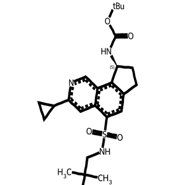 CC(C)(F)CNS(=O)(=O)c1cc2c(c3cnc(C4CC4)cc13)[C@@H](NC(=O)OC(C)(C)C)CC2